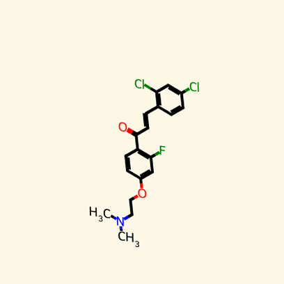 CN(C)CCOc1ccc(C(=O)C=Cc2ccc(Cl)cc2Cl)c(F)c1